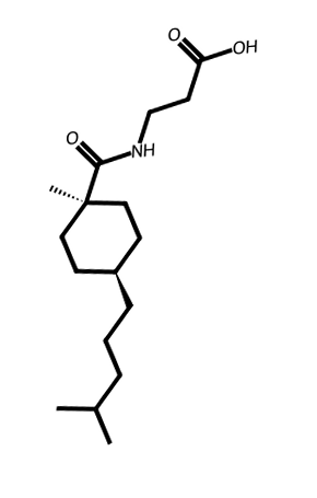 CC(C)CCC[C@H]1CC[C@@](C)(C(=O)NCCC(=O)O)CC1